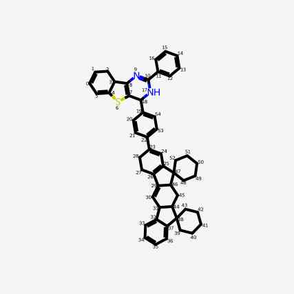 C1=CCC2C(=C1)SC1=C2N=C(c2ccccc2)NC1c1ccc(C2=CC3=C(CC2)C2=CC4c5ccccc5C5(CCCCC5)C4CC2C32CCCCC2)cc1